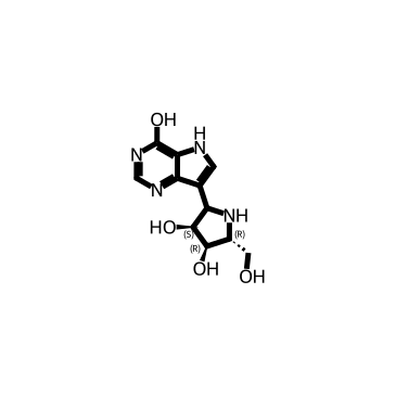 OC[C@H]1NC(c2c[nH]c3c(O)ncnc23)[C@H](O)[C@@H]1O